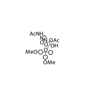 COc1ccc(C(OCC2OC(n3ccc(NC(C)=O)nc3=O)C(OC(C)=O)C2O)(c2ccccc2)c2ccc(OC)cc2)cc1